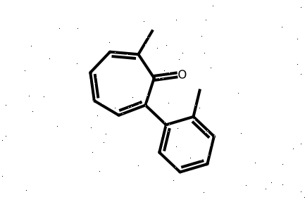 Cc1ccccc1-c1ccccc(C)c1=O